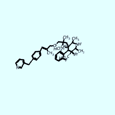 C/C(=C\c1ccc(Cc2cccnc2)cc1)COCC(C)(C)CC1(C(=O)O)C(C)NC(C)C(C(=O)O)(C(C)C)C1c1ccccc1F